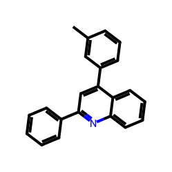 Cc1cccc(-c2cc(-c3ccccc3)nc3ccccc23)c1